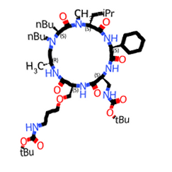 CCCC[C@H]1C(=O)N(C)[C@@H](CC(C)C)C(=O)N[C@@H](C2CCCCC2)C(=O)N[C@@H](CNC(=O)OC(C)(C)C)C(=O)N[C@@H](COCCCNC(=O)OC(C)(C)C)C(=O)N[C@H](C)CN1CCCC